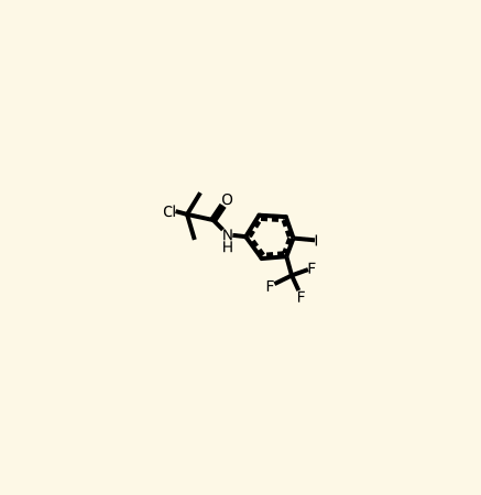 CC(C)(Cl)C(=O)Nc1ccc(I)c(C(F)(F)F)c1